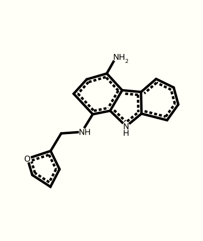 Nc1ccc(NCc2ccco2)c2[nH]c3ccccc3c12